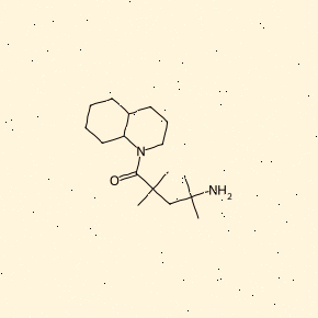 CC(C)(N)CC(C)(C)C(=O)N1CCCC2CCCCC21